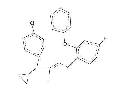 FC(=CCc1ccc(F)cc1Oc1ccccc1)C(c1ccc(Cl)cc1)C1CC1